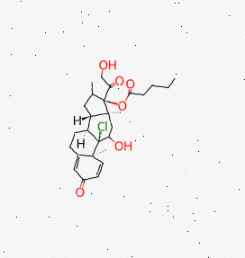 CCCCC(=O)O[C@]1(C(=O)CO)C(C)C[C@H]2[C@@H]3CCC4=CC(=O)C=C[C@]4(C)[C@@]3(Cl)C(O)C[C@@]21C